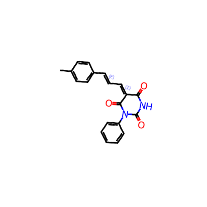 Cc1ccc(/C=C/C=C2/C(=O)NC(=O)N(c3ccccc3)C2=O)cc1